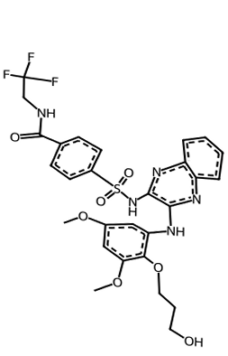 COc1cc(Nc2nc3ccccc3nc2NS(=O)(=O)c2ccc(C(=O)NCC(F)(F)F)cc2)c(OCCCO)c(OC)c1